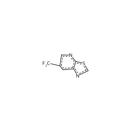 FC(F)(F)c1cnc2scnc2c1